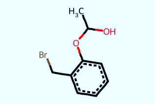 CC(O)Oc1ccccc1CBr